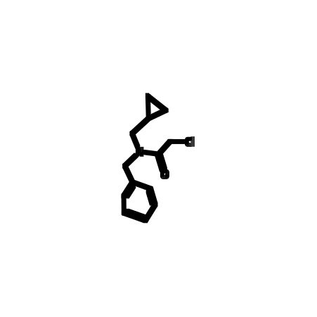 O=C(CCl)N(Cc1ccccc1)CC1CC1